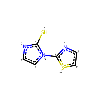 Sc1nccn1-c1nccs1